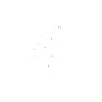 COC[C@H](NC(=O)c1cc(C)on1)C(=O)N[C@@H](Cc1cccnc1)C(=O)NC(CC(C)C)C(=O)[C@@]1(C)CO1